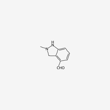 CN1Cc2c(C=O)cccc2N1